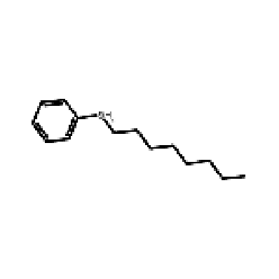 CCCCCCCC[SiH2]c1ccccc1